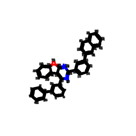 c1ccc(-c2cccc(-c3nc(-c4cccc(-c5ccc6ccccc6c5)c4)nc4oc5ccccc5c34)c2)cc1